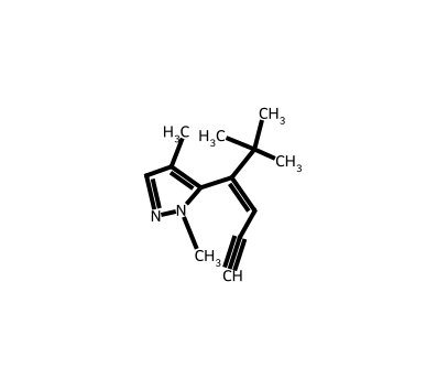 C#C/C=C(\c1c(C)cnn1C)C(C)(C)C